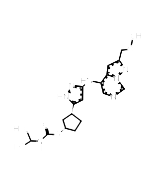 COCc1cc2c(Nc3cc([C@H]4CC[C@@H](OC(=O)NC(C)C)C4)[nH]n3)cncn2n1